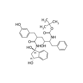 CC(C)(C)OC(=O)NC(Cc1ccccc1)C(O)CC(Cc1cccc(O)c1)C(=O)N[C@@]1(O)C[C@@H](O)c2ccccc21